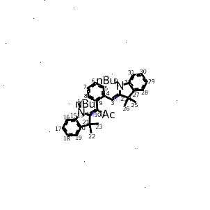 CCCCN1/C(=C\c2ccccc2/C(C(C)=O)=C2\N(CCCC)c3ccccc3C2(C)C)C(C)(C)c2ccccc21